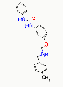 Cc1ccc(CNCOc2cccc(NC(=O)Nc3ccccc3)c2)cc1